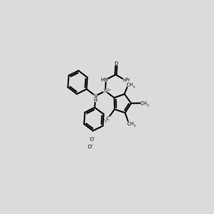 CCCC(=O)[NH][Ti+2]([C]1=C(C)C(C)=C(C)C1C)[SiH](c1ccccc1)c1ccccc1.[Cl-].[Cl-]